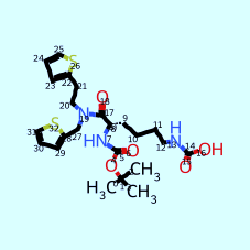 CC(C)(C)OC(=O)N[C@@H](CCCCNC(=O)O)C(=O)N(CCc1cccs1)Cc1cccs1